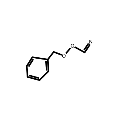 [N]=COOCc1ccccc1